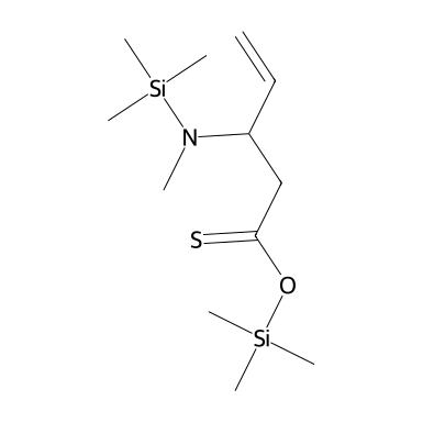 C=CC(CC(=S)O[Si](C)(C)C)N(C)[Si](C)(C)C